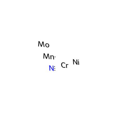 [Cr].[Mn].[Mo].[N].[Ni]